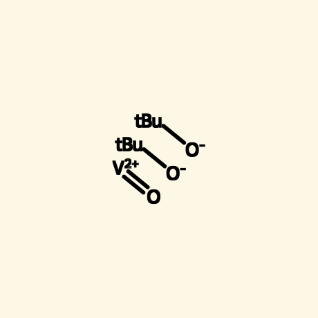 CC(C)(C)[O-].CC(C)(C)[O-].[O]=[V+2]